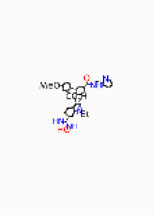 CCn1cc(Cc2ccc(C(=O)NCc3ccccn3)cc2-c2ccc(OC)cc2C(=O)O)c2ccc(C(=N)NO)cc21